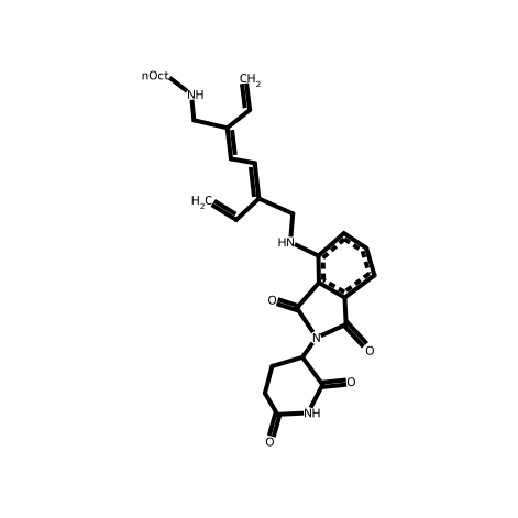 C=C/C(=C\C=C(/C=C)CNc1cccc2c1C(=O)N(C1CCC(=O)NC1=O)C2=O)CNCCCCCCCC